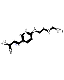 CCOCCOc1ccc(/C=C/C(=O)O)cn1